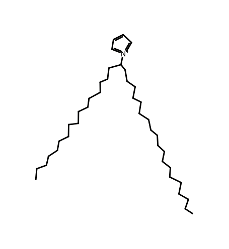 CCCCCCCCCCCCCCCCCCCC(CCCCCCCCCCCCCCCC)[n+]1ccccc1